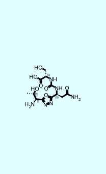 C[C@H](O)[C@H](N)c1nnc([C@H](CC(N)=O)NC(=O)N[C@@H](CO)C(=O)O)o1